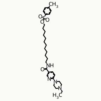 CCN1CCN(c2ccc(C(=O)NCCCCCCCCCCCCOS(=O)(=O)c3ccc(C)cc3)cn2)CC1